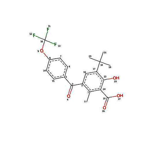 Cc1c(C(=O)c2ccc(OC(F)(F)F)cc2)cc(C(C)(C)C)c(O)c1C(=O)O